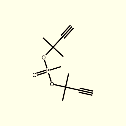 C#CC(C)(C)OP(C)(=O)OC(C)(C)C#C